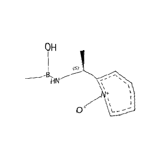 CB(O)N[C@@H](C)c1cccc[n+]1[O-]